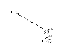 CCC=CCC=CCC=CCC=CCC=CCC=CCCC(=O)N(C)CCNC(=O)c1ccccc1O